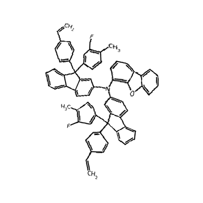 C=Cc1ccc(C2(c3ccc(C)c(F)c3)c3ccccc3-c3ccc(N(c4ccc5c(c4)C(c4ccc(C=C)cc4)(c4ccc(C)c(F)c4)c4ccccc4-5)c4cccc5c4oc4ccccc45)cc32)cc1